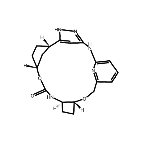 O=C1N[C@@H]2CC[C@H]2OCc2cccc(n2)Nc2cc([nH]n2)[C@H]2CC[C@H](C2)O1